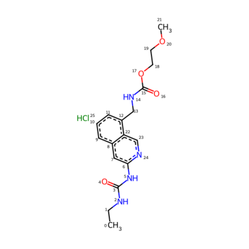 CCNC(=O)Nc1cc2cccc(CNC(=O)OCCOC)c2cn1.Cl